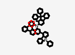 CC1C2=C(C=CC1N(c1cccc(-c3cccc4c3c3ccccc3n4-c3ccccc3)c1)c1ccccc1-c1ccccc1-c1ccccc1-c1ccccc1)c1ccccc1C2(c1ccccc1)c1ccccc1